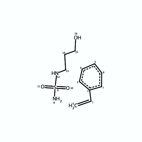 C=Cc1ccccc1.NS(=O)(=O)NCCCO